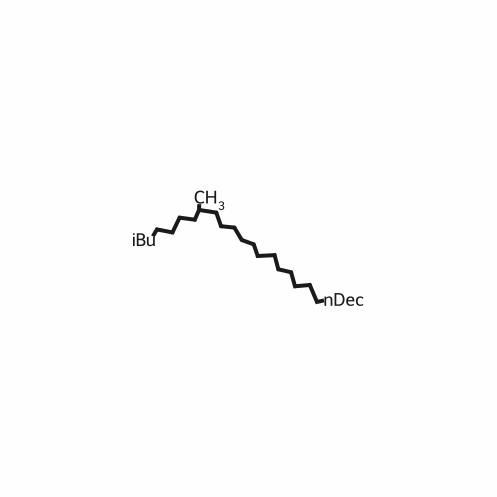 CCCCCCCCCCCCCCCCCCCCCCC(C)CCCCC(C)CC